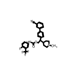 CN1CCC(C(COC(=O)Nc2ccc(F)c(C(F)(F)F)c2)c2ccc(-c3cccc(C#N)c3)cc2)CC1